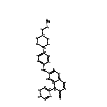 O=c1ccc2cnc(Nc3ccc(N4CCC(CCO)CC4)cc3)nc2n1-c1ccccc1